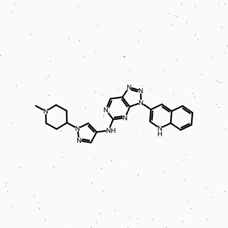 CN1CCC(n2cc(Nc3ncc4nnn(C5=CNC6C=CC=CC6=C5)c4n3)cn2)CC1